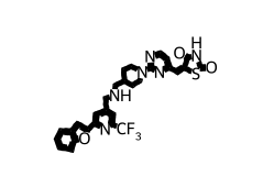 O=C1NC(=O)/C(=C\c2ccnc(N3CCC(CNCc4cc(-c5cc6ccccc6o5)nc(C(F)(F)F)c4)CC3)n2)S1